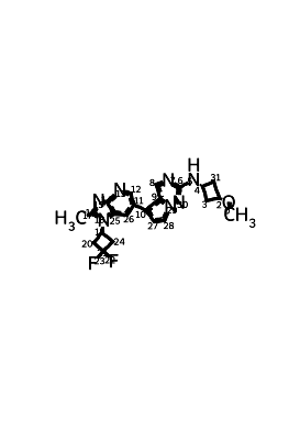 CO[C@H]1C[C@H](Nc2ncc3c(-c4cnc5nc(C)n(C6CC(F)(F)C6)c5c4)ccn3n2)C1